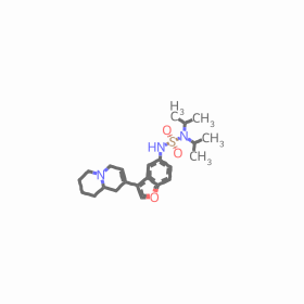 CC(C)N(C(C)C)S(=O)(=O)Nc1ccc2occ(C3=CCN4CCCCC4C3)c2c1